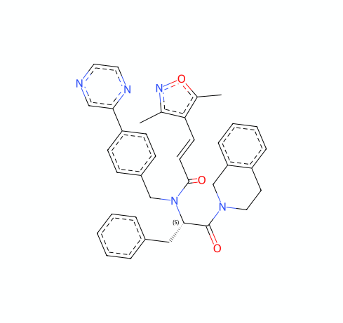 Cc1noc(C)c1C=CC(=O)N(Cc1ccc(-c2cnccn2)cc1)[C@@H](Cc1ccccc1)C(=O)N1CCc2ccccc2C1